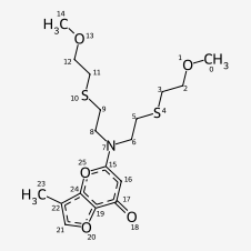 COCCSCCN(CCSCCOC)c1cc(=O)c2occ(C)c2o1